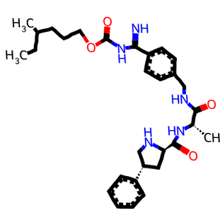 CCC(C)CCCOC(=O)NC(=N)c1ccc(CNC(=O)[C@H](C)NC(=O)[C@H]2C[C@H](c3ccccc3)CN2)cc1